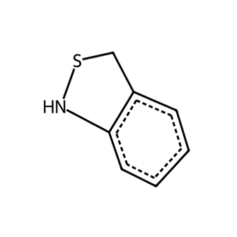 c1ccc2c(c1)CSN2